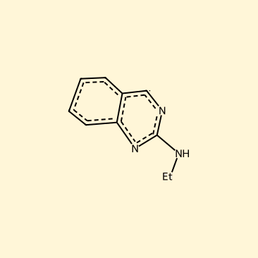 CCNc1n[c]c2ccccc2n1